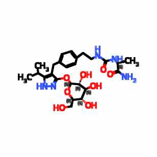 CC(C)c1[nH]nc(O[C@@H]2O[C@H](CO)[C@@H](O)[C@H](O)[C@H]2O)c1Cc1ccc(CCNC(=O)N[C@@H](C)C(N)=O)cc1